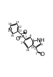 O=Cc1c[nH]c2cc(S(=O)(=O)c3cccnc3)ccc12